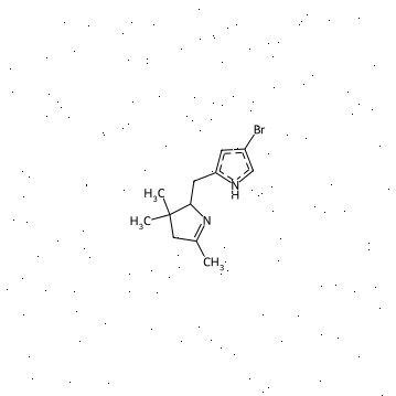 CC1=NC(Cc2cc(Br)c[nH]2)C(C)(C)C1